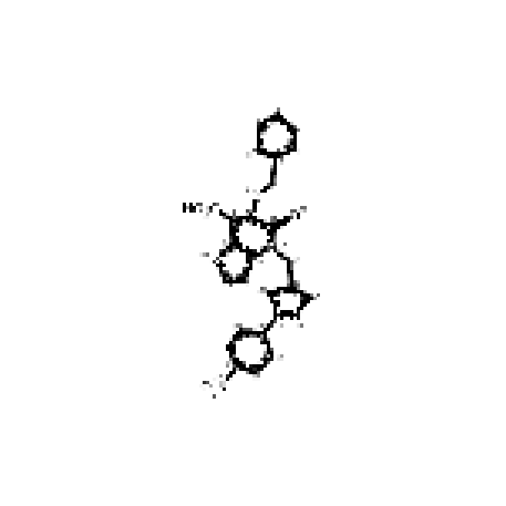 O=C(O)c1c(OCc2ccccc2)c(=O)n(Cc2cnn(-c3ccc([N+](=O)[O-])cc3)c2)c2ccsc12